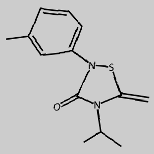 C=C1SN(c2cccc(C)c2)C(=O)N1C(C)C